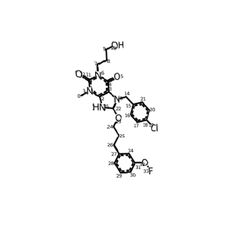 Cn1c2c(c(=O)n(CCCO)c1=O)N(Cc1ccc(Cl)cc1)C(OCCCc1cccc(OF)c1)N2